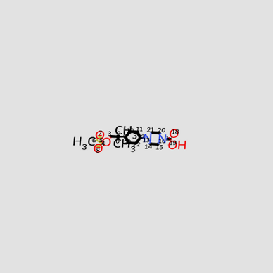 CC(C)(COS(C)(=O)=O)[C@H]1CC[C@H](N2CCN(C(=O)O)CC2)CC1